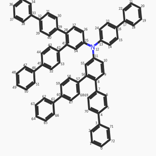 c1ccc(-c2ccc(-c3ccc(N(c4ccc(-c5ccccc5)cc4)c4ccc(-c5ccc(-c6ccccc6)cc5)c(-c5ccc(-c6ccccc6)cc5)c4)cc3-c3ccc(-c4ccccc4)cc3)cc2)cc1